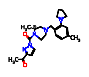 CC(=O)c1ccn(C(=O)N2CCN(Cc3ccc(C)cc3N3CCCC3)C[C@H]2C)n1